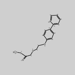 CSC(=O)COCCOc1ccc(-c2ccccn2)cc1